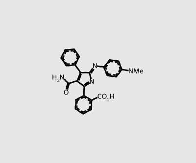 CNc1ccc(N=C2N=C(c3ccccc3C(=O)O)C(C(N)=O)=C2c2ccccc2)cc1